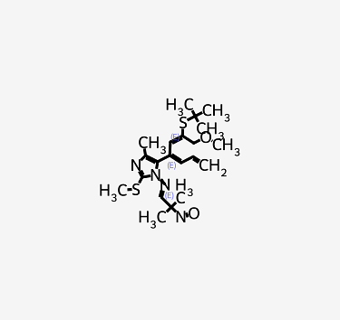 C=C/C=C(\C=C(/COC)SC(C)(C)C)c1c(C)nc(SC)n1/N=C/C(C)(C)N=O